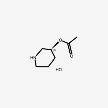 CC(=O)O[C@H]1CCCNC1.Cl